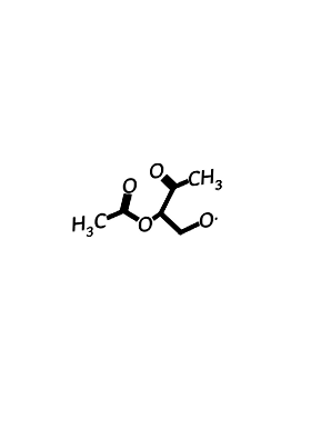 CC(=O)OC(C[O])C(C)=O